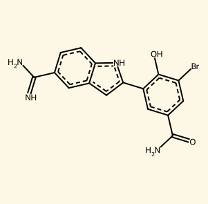 N=C(N)c1ccc2[nH]c(-c3cc(C(N)=O)cc(Br)c3O)cc2c1